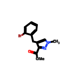 COC(=O)c1nn(C)cc1Cc1ccccc1Br